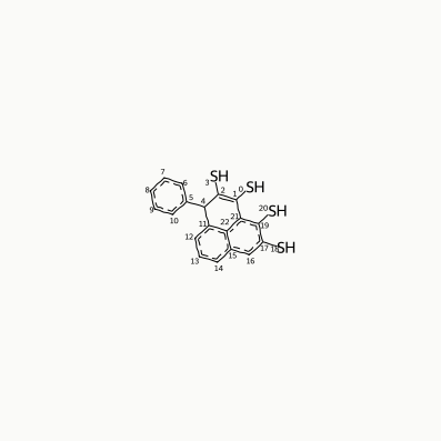 SC1=C(S)C(c2ccccc2)c2cccc3cc(S)c(S)c1c23